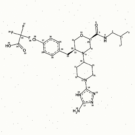 CC(C)CNC(=O)[C@H]1CN(C2CCN(c3nnc(N)[nH]3)CC2)[C@@H](Cc2ccc(Cl)cc2)CO1.O=C(O)C(F)(F)F